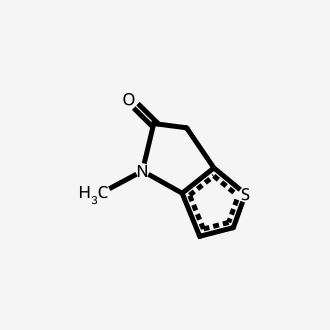 CN1C(=O)Cc2sccc21